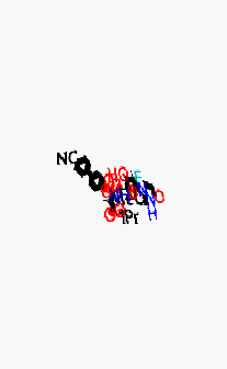 COC1(C)NC(=O)C=CN1[C@@H]1O[C@H](COP(=O)(N[C@@H](C)C(=O)OC(C)C)Oc2ccc(-c3ccc(C#N)cc3)cc2)[C@@H](O)[C@@]1(C)F